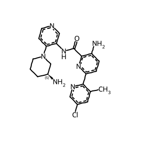 Cc1cc(Cl)cnc1-c1ccc(N)c(C(=O)Nc2cnccc2N2CCC[C@H](N)C2)n1